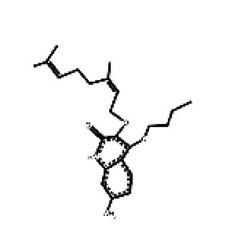 CCCCOc1c(OCC=C(C)CCC=C(C)C)c(=O)[nH]c2cc(N)ccc12